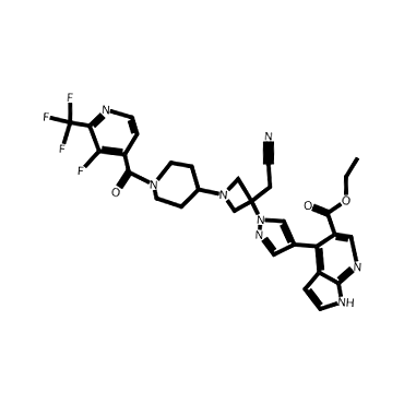 CCOC(=O)c1cnc2[nH]ccc2c1-c1cnn(C2(CC#N)CN(C3CCN(C(=O)c4ccnc(C(F)(F)F)c4F)CC3)C2)c1